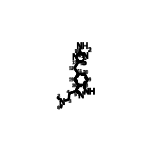 CN(C)CCc1n[nH]c2ccc(Cc3nc(N)ns3)cc12